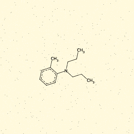 CCCN(CCC)c1ccc[c]c1C